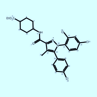 CCOC(=O)C1CCC(NC(=O)c2nn(-c3ccc(Cl)cc3Cl)c(-c3ccc(Cl)cc3)c2C)CC1